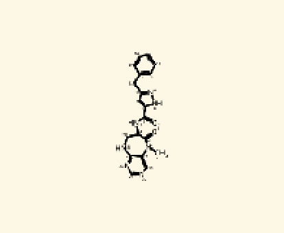 CN1C(=O)C(NC(=O)c2cc(Cc3ccccc3)n[nH]2)CNc2ncncc21